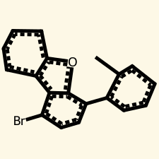 Cc1ccccc1-c1ccc(Br)c2c1oc1ccccc12